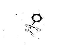 C[N+](C)([NH2+][O-])c1ccccc1